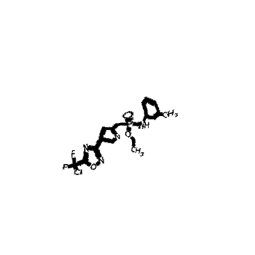 CCOP(=O)(Cc1ccc(-c2noc(C(F)(F)Cl)n2)cn1)Nc1cccc(C)c1